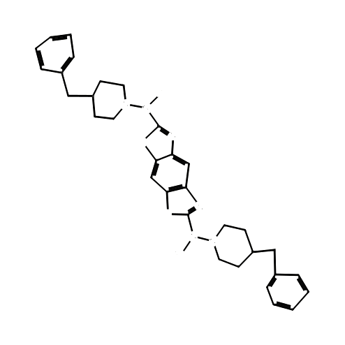 CC(=O)N(c1nc2cc3nc(N(C(C)=O)N4CCC(Cc5ccccc5)CC4)sc3cc2s1)N1CCC(Cc2ccccc2)CC1